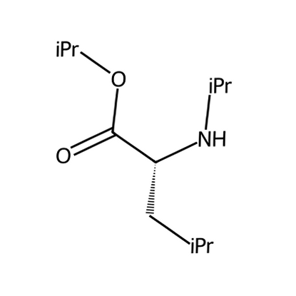 CC(C)C[C@@H](NC(C)C)C(=O)OC(C)C